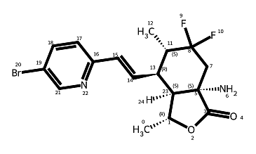 C[C@H]1OC(=O)[C@]2(N)CC(F)(F)[C@@H](C)[C@H](C=Cc3ccc(Br)cn3)[C@H]12